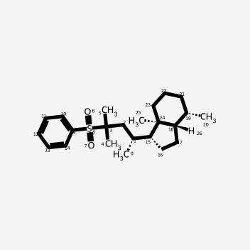 C[C@H](CC(C)(C)S(=O)(=O)c1ccccc1)[C@H]1CC[C@H]2[C@@H](C)CCC[C@]12C